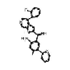 Cc1cc(N)c(C(=N)c2cc3c(-c4ccccc4F)cncc3[nH]2)cc1-c1ccccn1